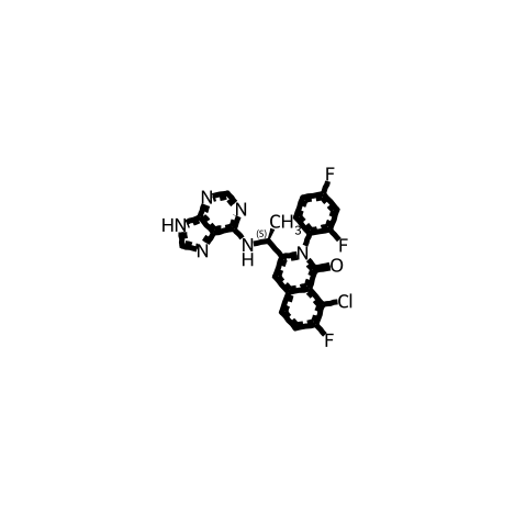 C[C@H](Nc1ncnc2[nH]cnc12)c1cc2ccc(F)c(Cl)c2c(=O)n1-c1ccc(F)cc1F